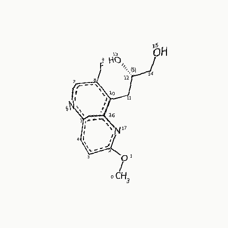 COc1ccc2ncc(F)c(C[C@H](O)CO)c2n1